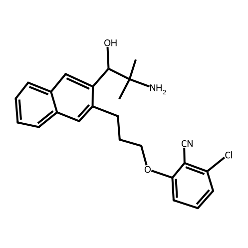 CC(C)(N)C(O)c1cc2ccccc2cc1CCCOc1cccc(Cl)c1C#N